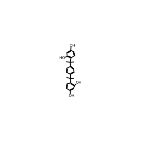 CC(C)(c1ccc(C(C)(C)c2ccc(O)cc2O)cc1)c1ccc(O)cc1O